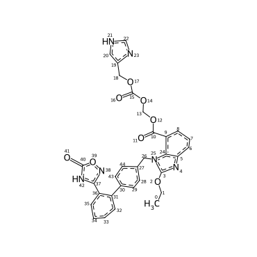 CCOc1nc2cccc(C(=O)OCOC(=O)OCc3c[nH]cn3)c2n1Cc1ccc(-c2ccccc2-c2noc(=O)[nH]2)cc1